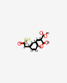 COC(=O)c1cc2cc(CC(=O)S)ccc2oc1=O